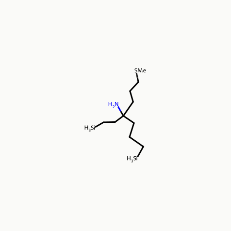 CSCCCC(N)(CC[SiH3])CCC[SiH3]